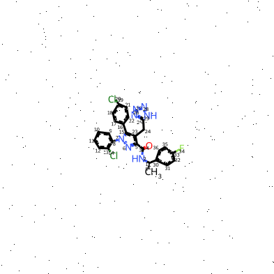 C[C@@H](NC(=O)c1nn(-c2ccccc2Cl)c(-c2ccc(Cl)cc2)c1Cc1nnn[nH]1)c1ccc(F)cc1